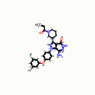 C=CC(=O)N1CCC[C@@H](c2nn(-c3ccc(Oc4cc(F)cc(F)c4)cc3)c3c(N)n[nH]c(=O)c23)C1